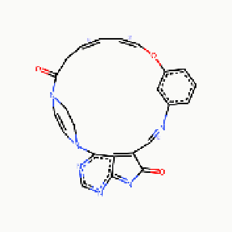 O=C1N=c2ncnc3c2=C1/C=N\c1cccc(c1)O/C=C\C=C/CC(=O)N1C=CN3CC1